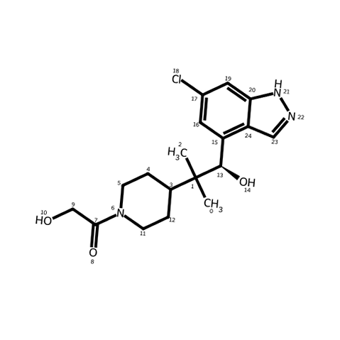 CC(C)(C1CCN(C(=O)CO)CC1)[C@H](O)c1cc(Cl)cc2[nH]ncc12